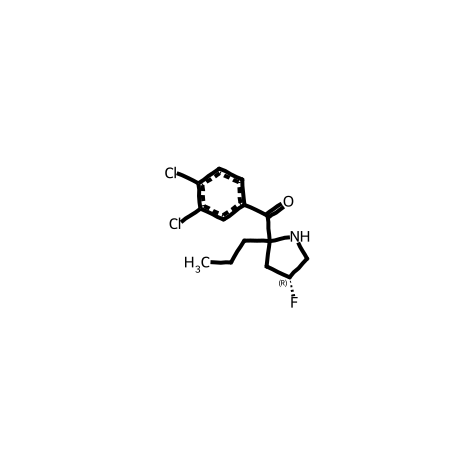 CCCC1(C(=O)c2ccc(Cl)c(Cl)c2)C[C@@H](F)CN1